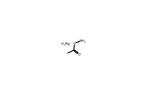 CC(=O)ON.[MgH2]